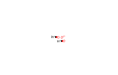 [O-2].[O]=[In+].[O]=[In+]